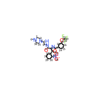 CN1CCN(CCNC(=O)c2nc(-c3cccc(OC(F)(F)F)c3)oc2-c2ccccc2[N+](=O)[O-])CC1